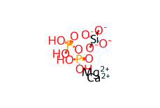 O=P(O)(O)OP(=O)(O)O.[Ca+2].[Mg+2].[O-][Si]([O-])([O-])[O-]